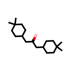 CC1(C)CCC(CC(=O)CC2CCC(C)(C)CC2)CC1